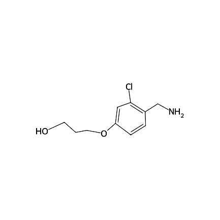 NCc1ccc(OCCCO)cc1Cl